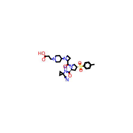 Cc1ccc(S(=O)(=O)[C@@H]2C[C@@H](C(=O)NC3(C#N)CC3)N(C(=O)C3CCN3C3CCN(CCC(=O)O)CC3)C2)cc1